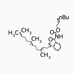 CCCCSCCOC(=O)NC(=O)c1ccccc1SC/C=C(\C)CC/C=C(\C)CCC=C(C)C